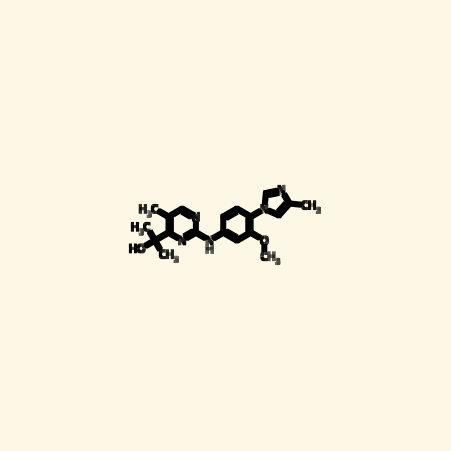 COc1cc(Nc2ncc(C)c(C(C)(C)O)n2)ccc1-n1cnc(C)c1